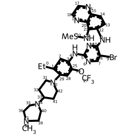 CCc1cc(Nc2ncc(Br)c(Nc3ccc4nccnc4c3NSC)n2)c(OC(F)(F)F)cc1N1CCC(N2CCN(C)CC2)CC1